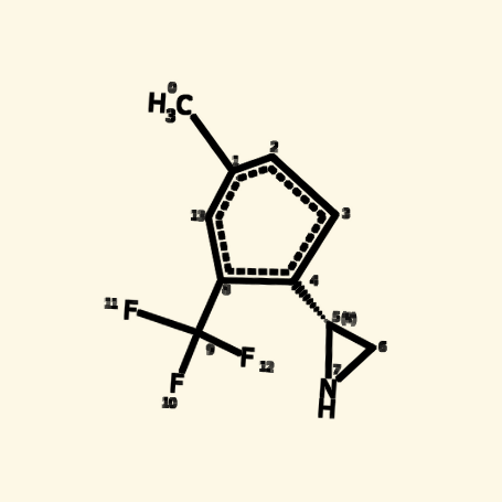 Cc1ccc([C@@H]2CN2)c(C(F)(F)F)c1